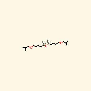 C=C(C)COCCCC[SiH2]O[SiH2]CCCCOCC(=C)C